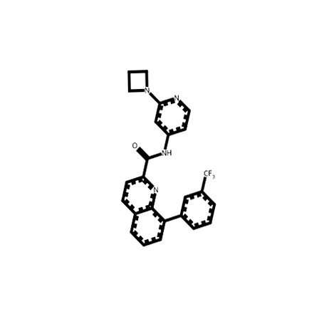 O=C(Nc1ccnc(N2CCC2)c1)c1ccc2cccc(-c3cccc(C(F)(F)F)c3)c2n1